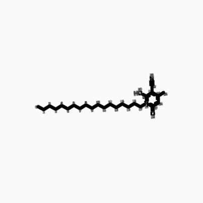 CCCCCCCCCCCCCCCCCCn1c(O)c(C#N)c(C)cc1=O